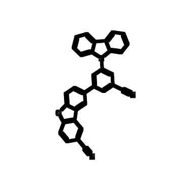 N#Cc1cc(-c2ccc3oc4ccc(C#N)cc4c3c2)cc(-n2c3ccccc3c3ccccc32)c1